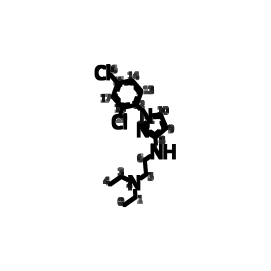 CCN(CC)CCNc1ccn(-c2ccc(Cl)cc2Cl)n1